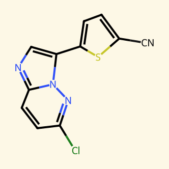 N#Cc1ccc(-c2cnc3ccc(Cl)nn23)s1